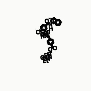 CC[N+]([O-])(CC)/N=N\OCOC(=O)c1ccc(CNS(=O)(=O)c2cc(C(=O)NN3c4ccccc4C[C@H]3C)ccc2Cl)cc1